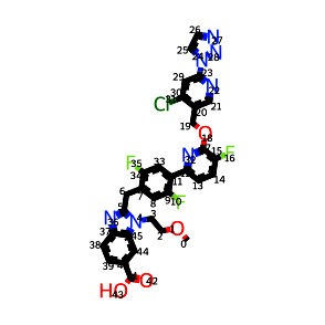 COCCn1c(Cc2cc(F)c(-c3ccc(F)c(OCc4cnc(-n5ccnn5)cc4Cl)n3)cc2F)nc2ccc(C(=O)O)cc21